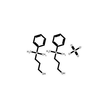 C[P+](C)(CCCO)c1ccccc1.C[P+](C)(CCCO)c1ccccc1.O=S(=O)([O-])[O-]